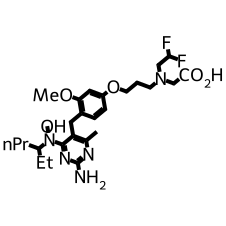 CCCC(CC)N(O)c1nc(N)nc(C)c1Cc1ccc(OCCCN(CC(=O)O)CC(F)F)cc1OC